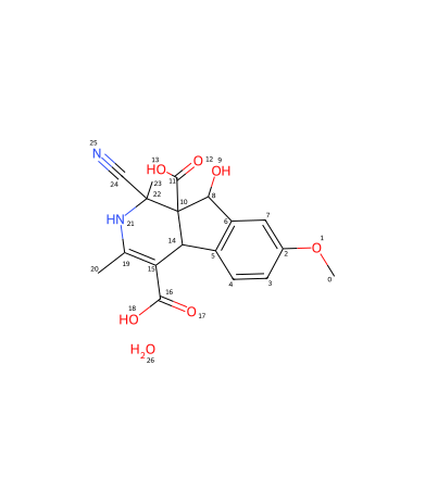 COc1ccc2c(c1)C(O)C1(C(=O)O)C2C(C(=O)O)=C(C)NC1(C)C#N.O